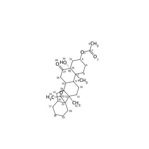 CC(=O)OC1CCC2(C)C3CCC4(C)C(CC5CCCCC54C(C)=O)C3CC(=O)[C@@]2(O)C1